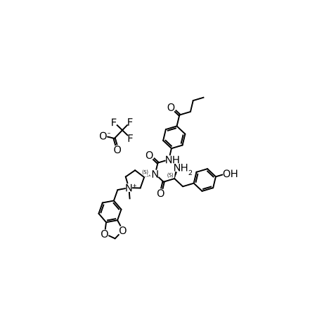 CCCC(=O)c1ccc(NC(=O)N(C(=O)[C@@H](N)Cc2ccc(O)cc2)[C@H]2CC[N+](C)(Cc3ccc4c(c3)OCO4)C2)cc1.O=C([O-])C(F)(F)F